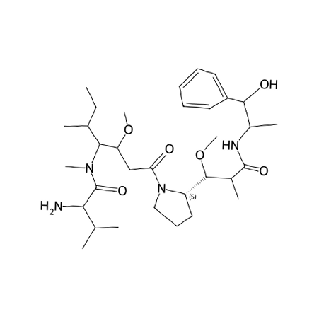 CCC(C)C(C(CC(=O)N1CCC[C@H]1C(OC)C(C)C(=O)NC(C)C(O)c1ccccc1)OC)N(C)C(=O)C(N)C(C)C